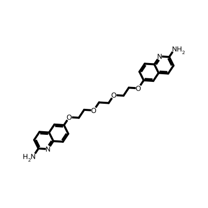 Nc1ccc2cc(OCCOCCOCCOc3ccc4nc(N)ccc4c3)ccc2n1